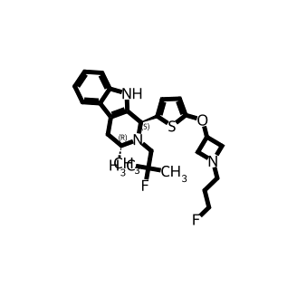 C[C@@H]1Cc2c([nH]c3ccccc23)[C@@H](c2ccc(OC3CN(CCCF)C3)s2)N1CC(C)(C)F